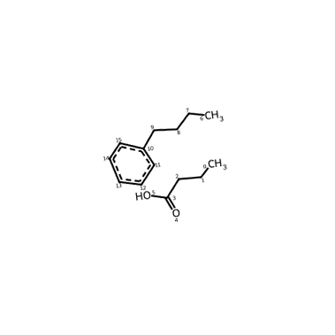 CCCC(=O)O.CCCCc1ccccc1